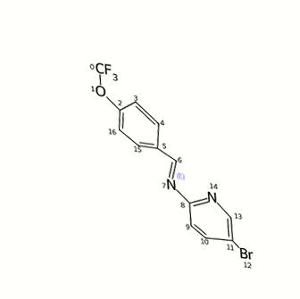 FC(F)(F)Oc1ccc(/C=N/c2ccc(Br)cn2)cc1